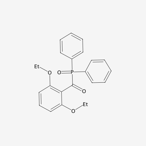 CCOc1cccc(OCC)c1C(=O)P(=O)(c1ccccc1)c1ccccc1